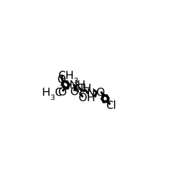 COc1cc(NC(=O)N[C@H](CO)CCN2CC(Oc3ccc(Cl)cc3)C2)cc(OC)c1